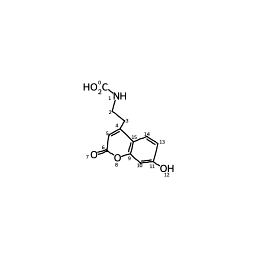 O=C(O)NCCc1cc(=O)oc2cc(O)ccc12